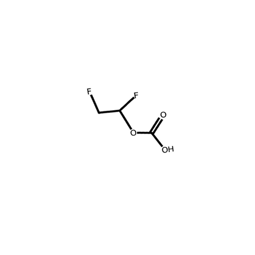 O=C(O)OC(F)CF